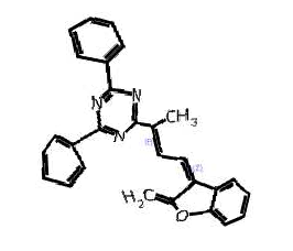 C=c1oc2ccccc2/c1=C/C=C(\C)c1nc(-c2ccccc2)nc(-c2ccccc2)n1